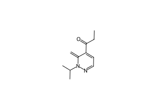 C=C1C(C(=O)CC)=CC=NN1C(C)C